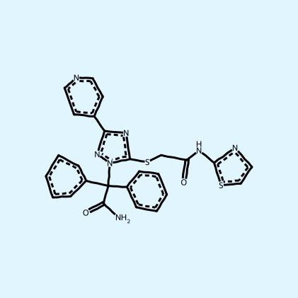 NC(=O)C(c1ccccc1)(c1ccccc1)n1nc(-c2ccncc2)nc1SCC(=O)Nc1nccs1